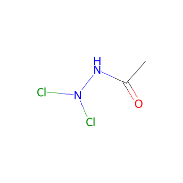 CC(=O)NN(Cl)Cl